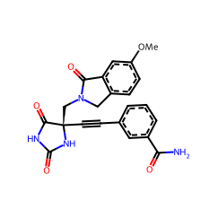 COc1ccc2c(c1)C(=O)N(C[C@@]1(C#Cc3cccc(C(N)=O)c3)NC(=O)NC1=O)C2